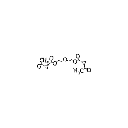 CC(=O)C1CC1C(=O)OCCOCCOC(=O)C1CC1C(C)=O